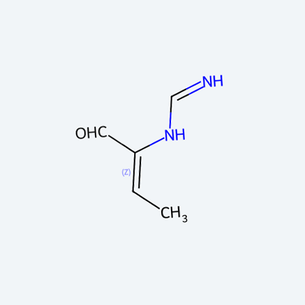 C/C=C(/C=O)NC=N